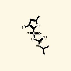 Cc1cc(Br)c(S(=O)(=O)NC(=N)NC(C)C)s1